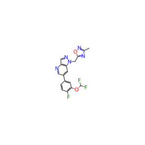 Cc1noc(Cn2ncc3ncc(-c4ccc(F)c(OC(F)F)c4)cc32)n1